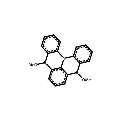 COB1c2ccccc2N2c3ccccc3B(OC)c3cccc1c32